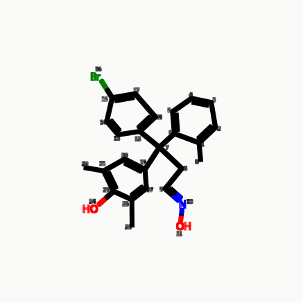 Cc1ccccc1C(C/C=N/O)(c1ccc(Br)cc1)c1cc(C)c(O)c(C)c1